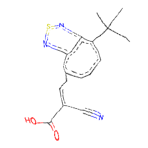 CC(C)(C)c1ccc(/C=C(\C#N)C(=O)O)c2nsnc12